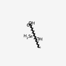 CCCCCCC(O)CCCCCCCCCCC(=O)O.[SrH2]